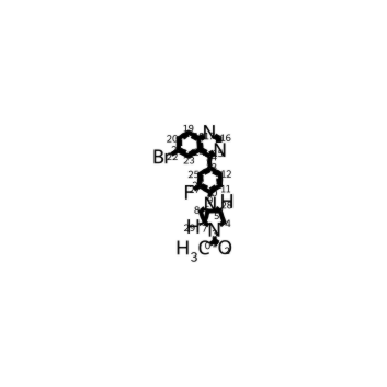 CC(=O)N1C[C@@H]2C[C@H]1CN2c1ccc(-c2ncnc3ccc(Br)cc23)cc1F